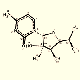 C[C@H](O)[C@H]1O[C@@H](n2ccc(N)nc2=O)[C@](C)(O)[C@@H]1O